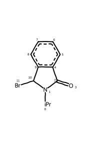 CC(C)N1C(=O)c2ccccc2C1Br